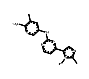 Cc1cc(Nc2nccc(-c3cnc(C)n3C(C)C)n2)cnc1C(=O)O